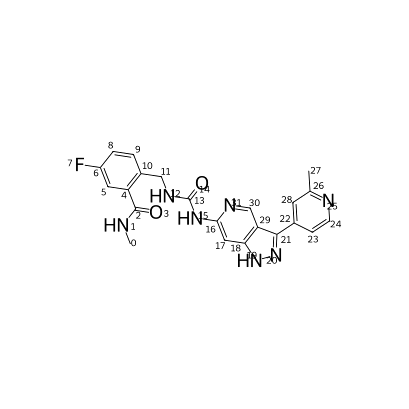 CNC(=O)c1cc(F)ccc1CNC(=O)Nc1cc2[nH]nc(-c3ccnc(C)c3)c2cn1